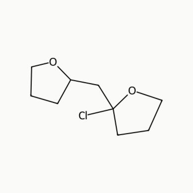 ClC1(CC2CCCO2)CCCO1